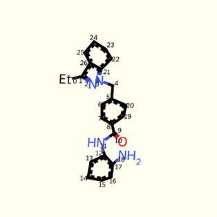 CCc1nn(Cc2ccc(C(=O)Nc3ccccc3N)cc2)c2ccccc12